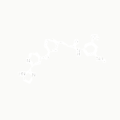 Nc1cc(NC(=O)CCc2cccc(Oc3ccnc(C4=NCCN4)c3)c2)cc(C(F)(F)F)c1